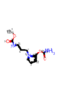 CC(C)(C)OC(=O)NCCCn1cccc1OC(N)=O